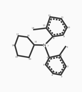 Cc1ccccc1N(c1ccccc1C)C1CCCCC1